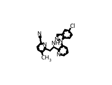 Cc1ccc(C#N)nc1C[C@H](N)c1ncccc1-n1ncc2cc(Cl)ccc21